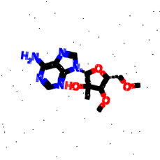 COC[C@H]1O[C@@H](n2cnc3c(N)ncnc32)C(C)(O)C1OC